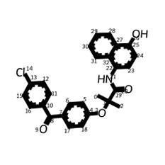 CC(C)(Oc1ccc(C(=O)c2ccc(Cl)cc2)cc1)C(=O)Nc1ccc(O)c2ccccc12